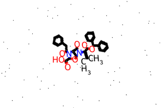 CC(C)=C(C(=O)OC(c1ccccc1)c1ccccc1)N1C(=O)C2C1OC(C(=O)O)N2C(=O)Cc1ccccc1